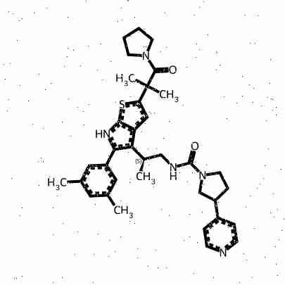 Cc1cc(C)cc(-c2[nH]c3sc(C(C)(C)C(=O)N4CCCC4)cc3c2[C@H](C)CNC(=O)N2CCC(c3ccncc3)C2)c1